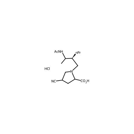 CCC[C@@H](CN1CC(C#N)CC1C(=O)O)C(C)NC(C)=O.Cl